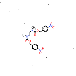 CN(CCN(C)C(=O)OCc1ccc([N+](=O)[O-])cc1)C(=O)OCc1ccc([N+](=O)[O-])cc1